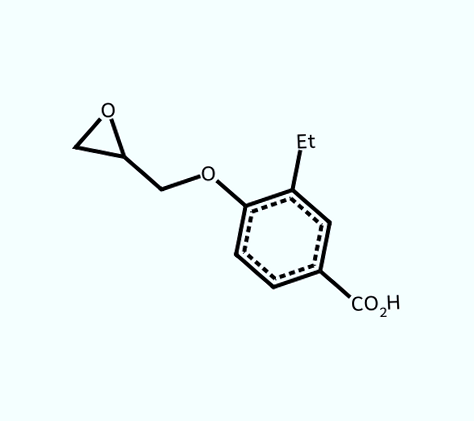 CCc1cc(C(=O)O)ccc1OCC1CO1